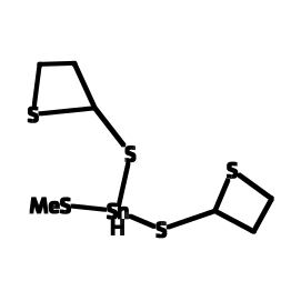 C[S][SnH]([S]C1CCS1)[S]C1CCS1